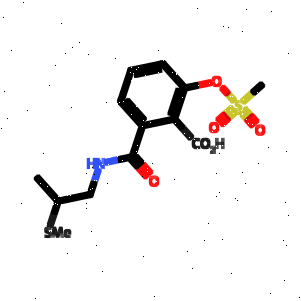 CSC(C)CNC(=O)c1cccc(OS(C)(=O)=O)c1C(=O)O